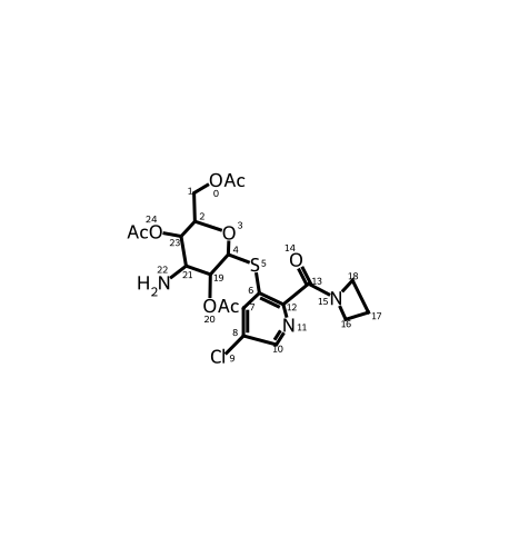 CC(=O)OCC1OC(Sc2cc(Cl)cnc2C(=O)N2CCC2)C(OC(C)=O)C(N)C1OC(C)=O